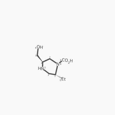 CC[C@@H]1CN[C@@H](CO)CN1C(=O)O